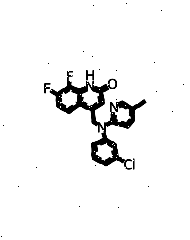 Cc1ccc(N(Cc2cc(=O)[nH]c3c(F)c(F)ccc23)c2cccc(Cl)c2)nc1